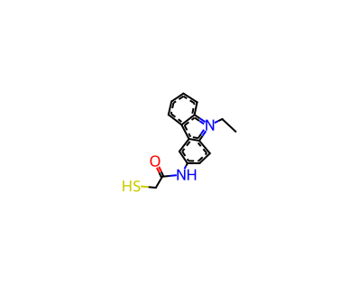 CCn1c2ccccc2c2cc(NC(=O)CS)ccc21